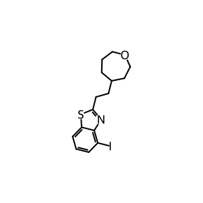 Ic1cccc2sc(CCC3CCCOCC3)nc12